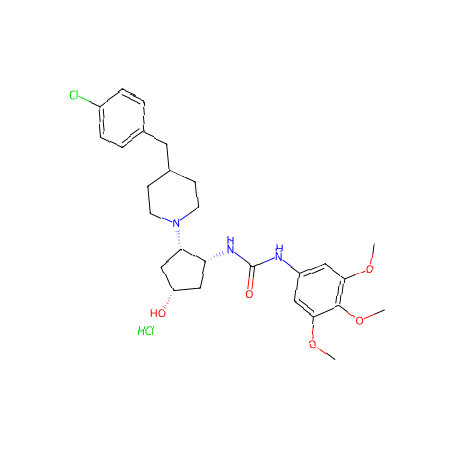 COc1cc(NC(=O)N[C@@H]2C[C@H](O)C[C@@H]2N2CCC(Cc3ccc(Cl)cc3)CC2)cc(OC)c1OC.Cl